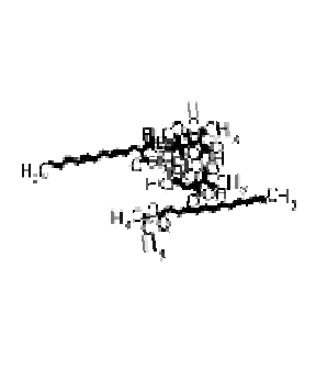 CCC(C(=O)O)C(O)(C(=O)O)C(CC)(CC)C(=O)O.CCC(C(=O)O)C(O)(CC(=O)O)C(=O)O.CCCCCCCCCCCCC(C(=O)O)C(C)C.CCCCCCCCCCCCCC(=O)OC(C)C